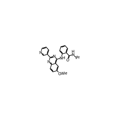 COc1ccc2nc(-c3cccnc3)nc(Nc3ccccc3C(=O)NC(C)C)c2c1